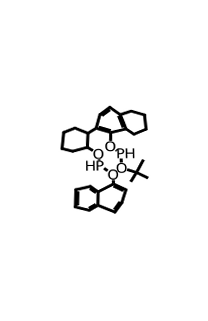 CC(C)(C)OPOc1c(C2CCCCC2OPOc2cccc3ccccc23)ccc2c1CCCC2